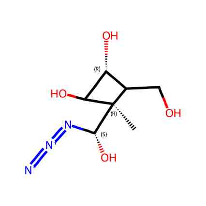 C[C@]1([C@H](O)N=[N+]=[N-])C(O)[C@H](O)C1CO